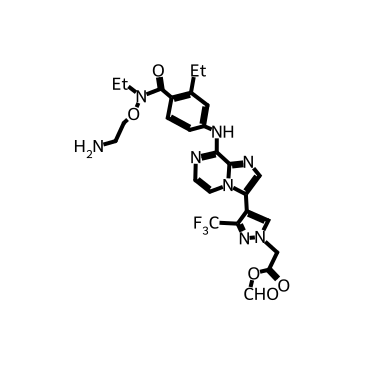 CCc1cc(Nc2nccn3c(-c4cn(CC(=O)OC=O)nc4C(F)(F)F)cnc23)ccc1C(=O)N(CC)OCCN